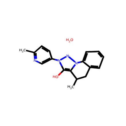 Cc1ccc(N2[N]N3C(=C2O)C(C)Cc2ccccc23)cn1.O